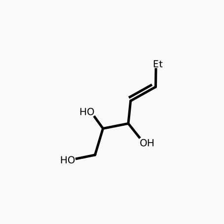 CC/C=C/C(O)C(O)CO